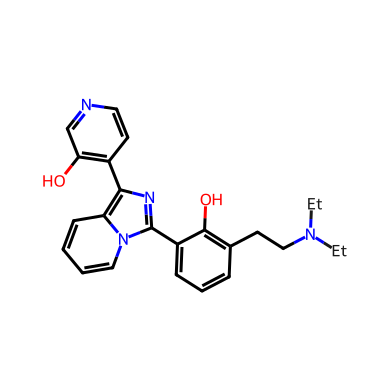 CCN(CC)CCc1cccc(-c2nc(-c3ccncc3O)c3ccccn23)c1O